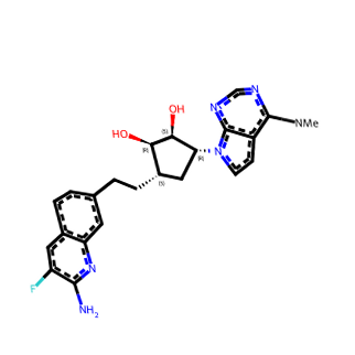 CNc1ncnc2c1ccn2[C@@H]1C[C@H](CCc2ccc3cc(F)c(N)nc3c2)[C@@H](O)[C@H]1O